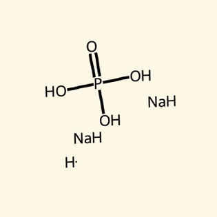 O=P(O)(O)O.[H].[NaH].[NaH]